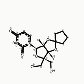 C[C@@]12OC3(CCCC3)O[C@@H]1[C@](CO)(CCl)O[C@H]2n1ccc(=O)[nH]c1=O